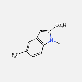 Cn1c(C(=O)O)cc2cc(C(F)(F)F)ccc21